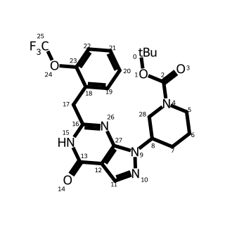 CC(C)(C)OC(=O)N1CCCC(n2ncc3c(=O)[nH]c(Cc4ccccc4OC(F)(F)F)nc32)C1